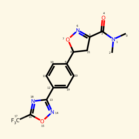 CN(C)C(=O)C1=NOC(c2ccc(-c3noc(C(F)(F)F)n3)cc2)C1